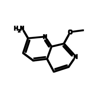 COc1nccc2ccc(N)nc12